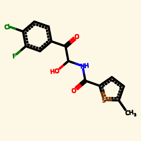 Cc1ccc(C(=O)NC(O)C(=O)c2ccc(Cl)c(F)c2)s1